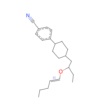 CCC/C=C/OC(CC)CC1CCC(c2ccc(C#N)cc2)CC1